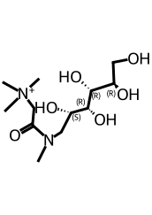 CN(C[C@H](O)[C@@H](O)[C@H](O)[C@H](O)CO)C(=O)C[N+](C)(C)C